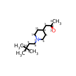 CC(=O)CC1CCN(CCC(C)(C)C)CC1